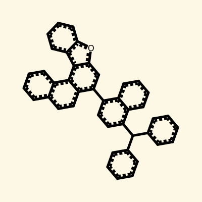 c1ccc(C(c2ccccc2)c2ccc(-c3cc4oc5ccccc5c4c4c3ccc3ccccc34)c3ccccc23)cc1